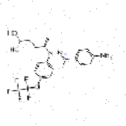 C=C(CCC(O)O)N(/N=C(\C)c1ccc(N)cc1)c1ccc(OC(F)(F)C(F)(F)F)cc1